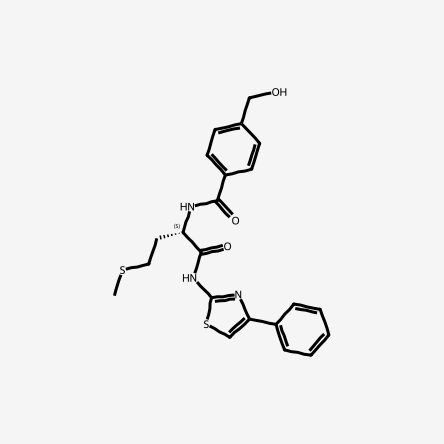 CSCC[C@H](NC(=O)c1ccc(CO)cc1)C(=O)Nc1nc(-c2ccccc2)cs1